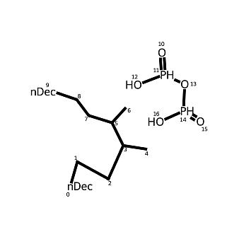 CCCCCCCCCCCCC(C)C(C)CCCCCCCCCCCC.O=[PH](O)O[PH](=O)O